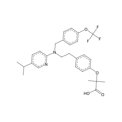 CC(C)c1ccc(N(CCc2ccc(OC(C)(C)C(=O)O)cc2)Cc2ccc(OC(F)(F)F)cc2)nc1